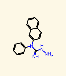 N=C(NN)N(c1ccccc1)c1ccc2ccccc2c1